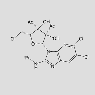 CC(=O)[C@@]1(O)[C@@H](CCl)O[C@@H](n2c(NC(C)C)nc3cc(Cl)c(Cl)cc32)[C@@]1(O)C(C)=O